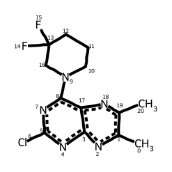 Cc1nc2nc(Cl)nc(N3CCCC(F)(F)C3)c2nc1C